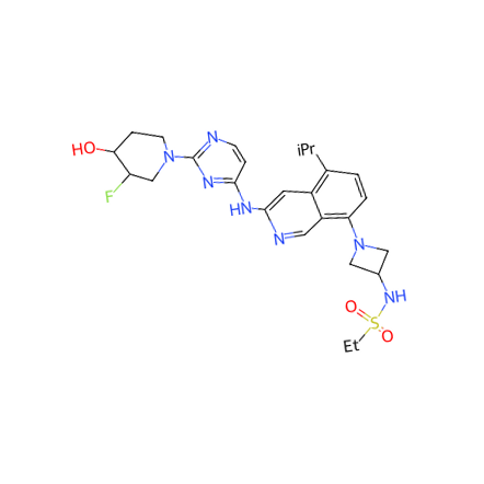 CCS(=O)(=O)NC1CN(c2ccc(C(C)C)c3cc(Nc4ccnc(N5CCC(O)C(F)C5)n4)ncc23)C1